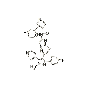 Cn1nc(-c2ccc(F)cc2)c(-c2ccc3nc(NC(=O)c4ccncc4C4CNCCO4)cn3n2)c1-c1ccncc1